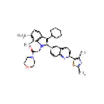 Cc1nc(C)c(-c2ccc3cc(-c4c(C5CCCCC5)c5ccc(C(=O)O)c(C)c5n4CC(=O)N4CCOCC4)ccc3n2)s1